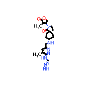 CC1=C(N2CC[C@]3(CC[C@@H](NCc4cc(C)c(N/C=N\N=N)nn4)CC3)C2=O)COC1=O